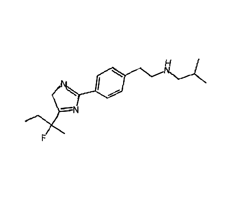 CCC(C)(F)C1=NC(c2ccc(CCNCC(C)C)cc2)=NC1